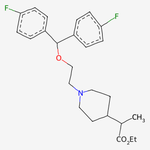 CCOC(=O)C(C)C1CCN(CCOC(c2ccc(F)cc2)c2ccc(F)cc2)CC1